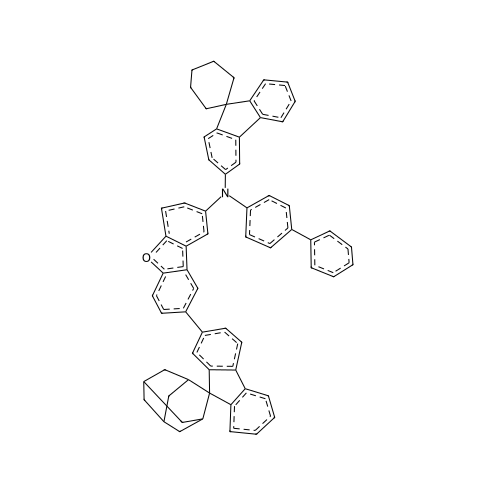 c1ccc(-c2ccc(N(c3ccc4c(c3)-c3ccccc3C43CCCCC3)c3ccc4oc5ccc(-c6ccc7c(c6)C6(c8ccccc8-7)C7CC8CC(C7)CC6C8)cc5c4c3)cc2)cc1